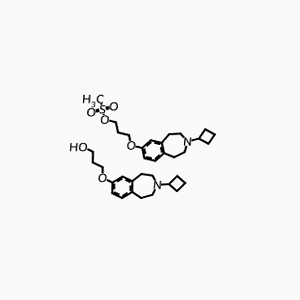 CS(=O)(=O)OCCCOc1ccc2c(c1)CCN(C1CCC1)CC2.OCCCOc1ccc2c(c1)CCN(C1CCC1)CC2